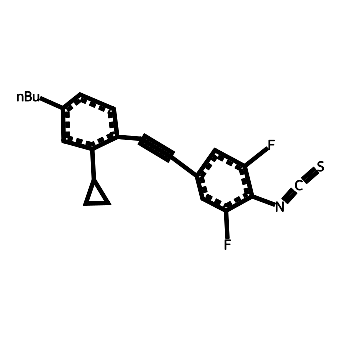 CCCCc1ccc(C#Cc2cc(F)c(N=C=S)c(F)c2)c(C2CC2)c1